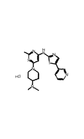 Cc1nc(Nc2ncc(-c3cccnc3)s2)cc(N2CCC(N(C)C)CC2)n1.Cl